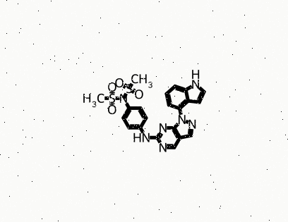 CS(=O)(=O)N(c1ccc(Nc2ncc3cnn(-c4cccc5[nH]ccc45)c3n2)cc1)S(C)(=O)=O